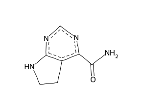 NC(=O)c1ncnc2c1CCN2